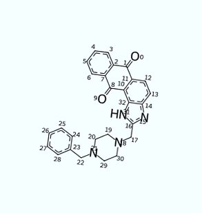 O=C1c2ccccc2C(=O)c2c1ccc1nc(CN3CCN(Cc4ccccc4)CC3)[nH]c21